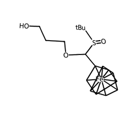 CC(C)(C)S(=O)C(OCCCO)[C]12[CH]3[CH]4[CH]5[CH]1[Fe]45321678[CH]2[CH]1[CH]6[CH]7[CH]28